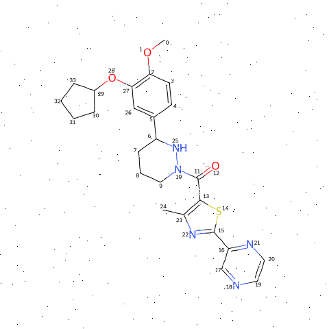 COc1ccc(C2CCCN(C(=O)c3sc(-c4cnccn4)nc3C)N2)cc1OC1CCCC1